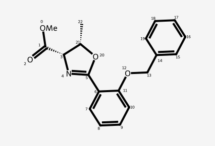 COC(=O)[C@H]1N=C(c2ccccc2OCc2ccccc2)O[C@H]1C